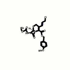 COc1ccc(COC(=O)C2=C(/C=C/CCl)CS[C@@H]3[C@H](NC(=O)OC(C)(C)C)C(=O)N23)cc1